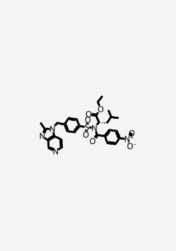 CCOC(=O)[C@H](CC(C)C)N(C(=O)c1ccc([N+](=O)[O-])cc1)S(=O)(=O)c1ccc(Cn2c(C)nc3cnccc32)cc1